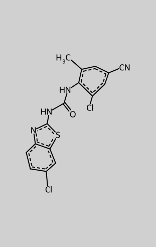 Cc1cc(C#N)cc(Cl)c1NC(=O)Nc1nc2ccc(Cl)cc2s1